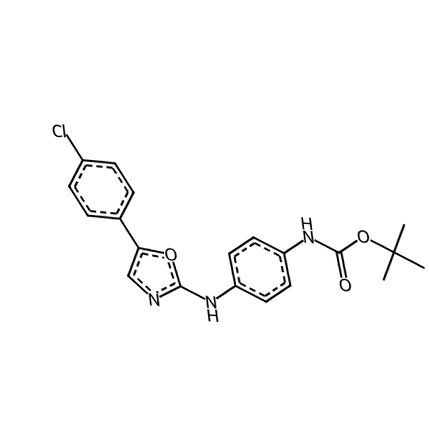 CC(C)(C)OC(=O)Nc1ccc(Nc2ncc(-c3ccc(Cl)cc3)o2)cc1